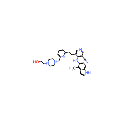 Cc1c(Nc2c(C#N)cncc2CCc2cccc(CN3CCN(CCO)CC3)n2)ccc2[nH]ccc12